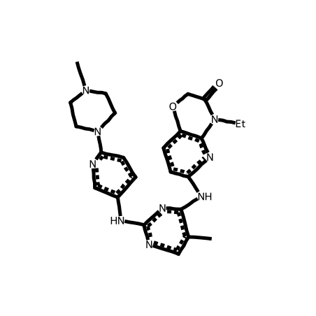 CCN1C(=O)COc2ccc(Nc3nc(Nc4ccc(N5CCN(C)CC5)nc4)ncc3C)nc21